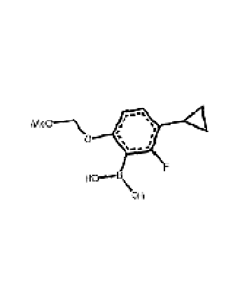 COCOc1ccc(C2CC2)c(F)c1B(O)O